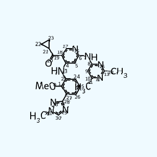 COc1c(Nc2cc(Nc3cc(C)nc(C)n3)ncc2C(=O)C2CC2)cccc1-c1ncn(C)n1